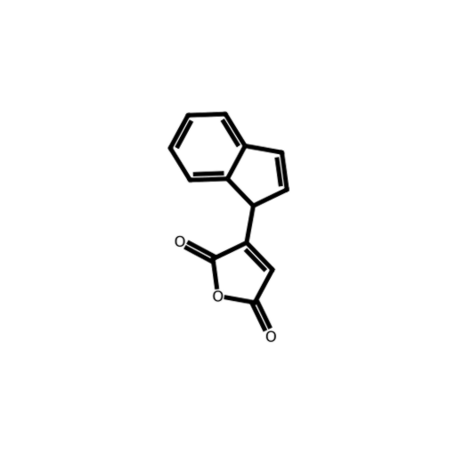 O=C1C=C(C2C=Cc3ccccc32)C(=O)O1